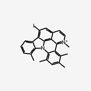 Cc1cc(C)c2c(c1C)c1c3c(cc[n+]1C)cc(I)c1c4cccc(C)c4n2c13